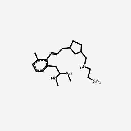 CBC(Cc1cccc(C)c1/C=C/CC1CCC(CNCCN)C1)NC